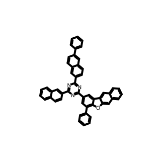 c1ccc(-c2ccc3cc(-c4nc(-c5ccc6ccccc6c5)nc(-c5cc(-c6ccccc6)c6oc7cc8ccccc8cc7c6c5)n4)ccc3c2)cc1